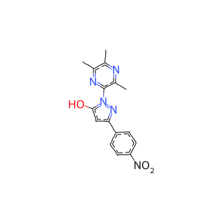 Cc1nc(C)c(-n2nc(-c3ccc([N+](=O)[O-])cc3)cc2O)nc1C